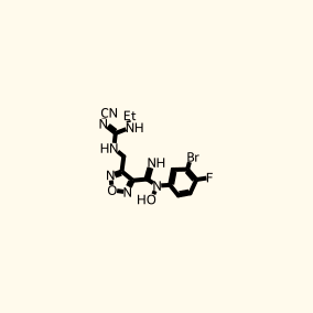 CCN/C(=N\C#N)NCc1nonc1C(=N)N(O)c1ccc(F)c(Br)c1